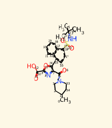 CC1CCN(C(=O)c2nc(C(=O)O)oc2-c2ccc(S(=O)(=O)NC(C)(C)C)c3ccccc23)CC1